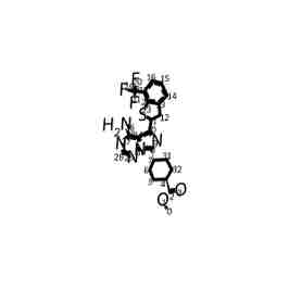 COC(=O)[C@H]1CC[C@H](c2nc(C3Cc4cccc(C(F)(F)F)c4S3)c3c(N)ncnn32)CC1